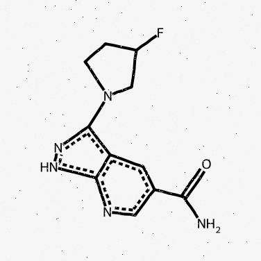 NC(=O)c1cnc2[nH]nc(N3CCC(F)C3)c2c1